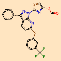 O=COc1csc(-n2nc(-c3ccccc3)c3ccc(Sc4cccc(C(F)(F)F)c4)nc32)n1